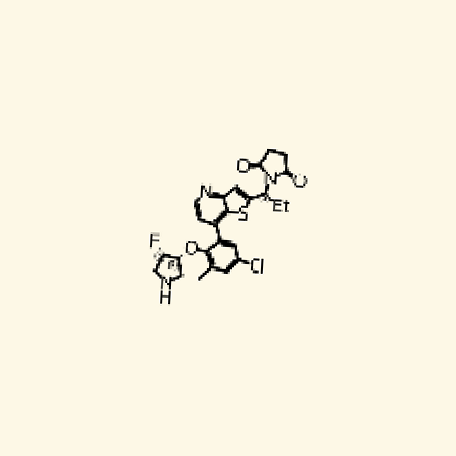 CC[C@@H](c1cc2nccc(-c3cc(Cl)cc(C)c3O[C@@H]3CNC[C@@H]3F)c2s1)N1C(=O)CCC1=O